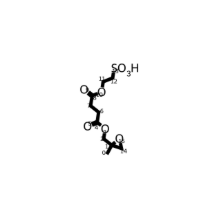 CC1(COC(=O)CCC(=O)OCCS(=O)(=O)O)CO1